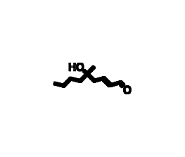 CCCCC(C)(O)C/C=C/C=O